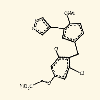 COc1ccc(Cc2c(Cl)cc(OCC(=O)O)cc2Cl)cc1-c1cnsc1